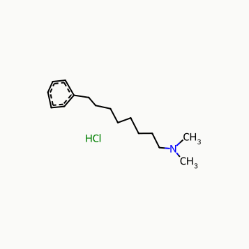 CN(C)CCCCCCCCc1ccccc1.Cl